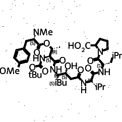 CC[C@H](C)[C@@H](NC(=O)[C@@H](NC(=O)OC(C)(C)C)[C@@H](C)OC(=O)[C@H](Cc1ccc(OC)cc1)NC)[C@@H](O)CC(=O)N[C@H](C(=O)N[C@@H](CC(C)C)C(=O)N1CCCC1C(=O)O)C(C)C